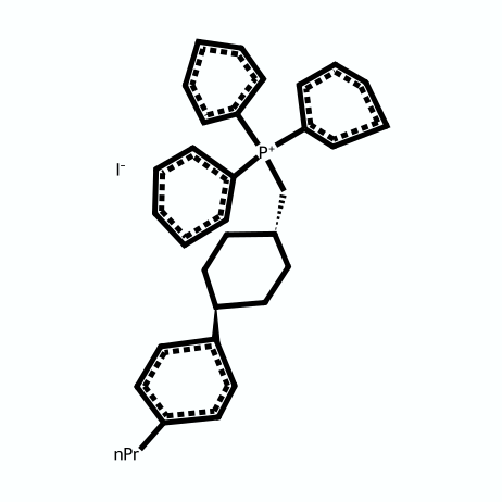 CCCc1ccc([C@H]2CC[C@H](C[P+](c3ccccc3)(c3ccccc3)c3ccccc3)CC2)cc1.[I-]